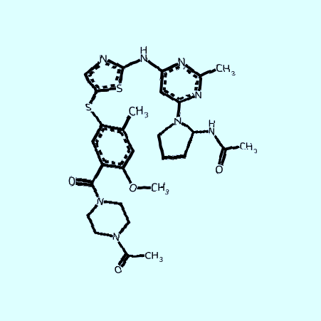 COc1cc(C)c(Sc2cnc(Nc3cc(N4CCCC4NC(C)=O)nc(C)n3)s2)cc1C(=O)N1CCN(C(C)=O)CC1